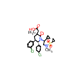 CN(CC(C1CC1)N1C(=O)[C@](C)(CC(=O)O)C[C@H](c2cccc(Cl)c2)[C@H]1c1ccc(Cl)cc1)S(=O)(=O)C1CC1